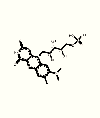 Cc1cc2nc3c(=O)[nH]c(=O)nc-3n(C[C@H](O)[C@H](O)[C@H](O)COP(=O)(O)O)c2cc1N(C)C